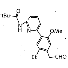 CCc1cc(-c2cccc(NC(=O)C(C)(C)C)n2)c(OC)cc1CC=O